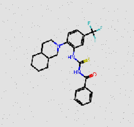 O=C(NC(=S)Nc1cc(C(F)(F)F)ccc1N1CCC2CCCCC2C1)c1ccccc1